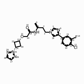 C=C(CCn1cnc(-c2ccc(Cl)c(F)c2)c1)NC(=O)CO[C@H]1C[C@@H](n2nccn2)C1